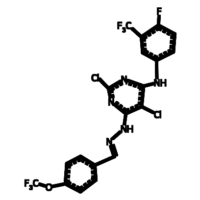 Fc1ccc(Nc2nc(Cl)nc(N/N=C/c3ccc(OC(F)(F)F)cc3)c2Cl)cc1C(F)(F)F